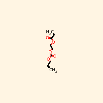 C=CCOC(=O)OCCOC(=O)C=C